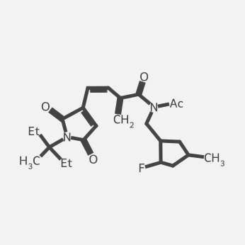 C=C(/C=C\C1=CC(=O)N(C(C)(CC)CC)C1=O)C(=O)N(CC1CC(C)CC1F)C(C)=O